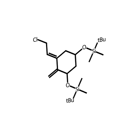 C=C1C(=CCCl)CC(O[Si](C)(C)C(C)(C)C)CC1O[Si](C)(C)C(C)(C)C